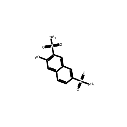 NS(=O)(=O)c1ccc2cc(O)c(S(N)(=O)=O)cc2c1